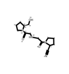 N#CC1CCCN1C(=O)CNCC(=O)N1CCC[C@H]1CO